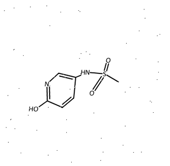 CS(=O)(=O)Nc1ccc(O)nc1